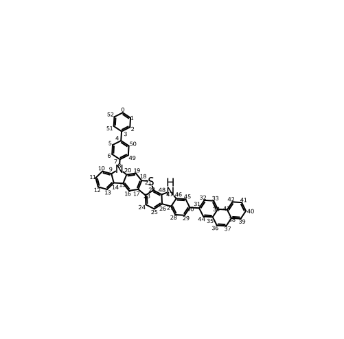 c1ccc(-c2ccc(-n3c4ccccc4c4cc5c(cc43)sc3c5ccc4c5ccc(-c6ccc7c(ccc8ccccc87)c6)cc5[nH]c43)cc2)cc1